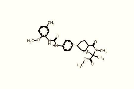 COC(=O)C(C)(C)N(C)C(=O)[C@H]1CC[C@H](c2ccc(NC(=O)Nc3cc(C)ccc3OC)cc2)CC1